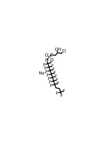 O=P([O-])(OCC(O)CCl)OC(F)(F)C(F)(F)C(F)(F)C(F)(F)C(F)(F)C(F)(F)C(F)(F)CCC(F)(F)F.[Na+]